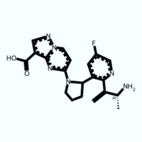 C=C(c1ncc(F)cc1C1CCCN1c1ccn2ncc(C(=O)O)c2n1)[C@@H](C)N